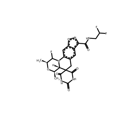 C[C@@H]1O[C@H](C)[C@@H]2N(c3cc4onc(C(=O)NCC(F)F)c4cc3CC23C(=O)NC(=O)NC3=O)C1F